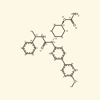 COc1ncc(-c2ccc(N(C(=O)NC(C)c3ccccc3)[C@H]3CC[C@H](OC(N)=O)CC3)nc2)cn1